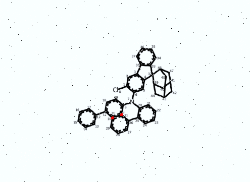 Clc1cc2c(cc1N(c1ccc(-c3ccccc3)cc1)c1ccccc1-c1ccccc1)C1(c3ccccc3-2)C2CC3CC(C2)CC1C3